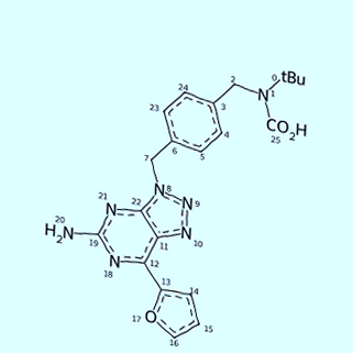 CC(C)(C)N(Cc1ccc(Cn2nnc3c(-c4ccco4)nc(N)nc32)cc1)C(=O)O